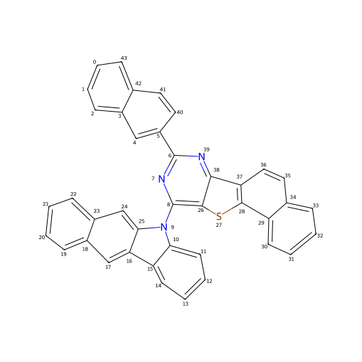 c1ccc2cc(-c3nc(-n4c5ccccc5c5cc6ccccc6cc54)c4sc5c6ccccc6ccc5c4n3)ccc2c1